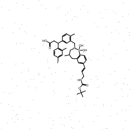 Cc1ccc(C(CC(=O)O)c2ccc(F)cc2C)cc1CN1CC(C)Cc2cc(C=CCNC(=O)OC(C)(C)C)ccc2S1(O)O